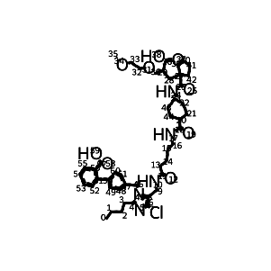 CCCCc1nc(Cl)c(CNC(=O)CCCCNC(=O)C2CCC(NC(=O)C3(CC(COCCOC)C(=O)O)CCCC3)CC2)n1Cc1ccc(-c2ccccc2C(=O)O)cc1